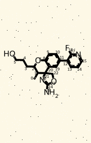 CC1C(CCCO)Oc2ccc(-c3cccnc3F)cc2C12COC(N)=N2